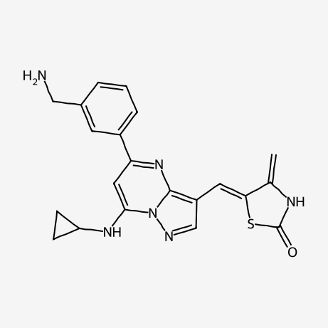 C=c1[nH]c(=O)s/c1=C\c1cnn2c(NC3CC3)cc(-c3cccc(CN)c3)nc12